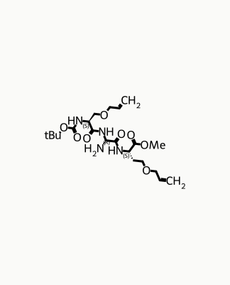 C=CCOCC[C@H](NC(=O)[C@H](N)NC(=O)[C@H](COCC=C)NC(=O)OC(C)(C)C)C(=O)OC